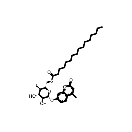 CCCCCCCCCCCCCCCC(=O)SC[C@@H]1O[C@H](Oc2ccc3c(C)cc(=O)oc3c2)[C@@H](O)[C@H](O)[C@H]1I